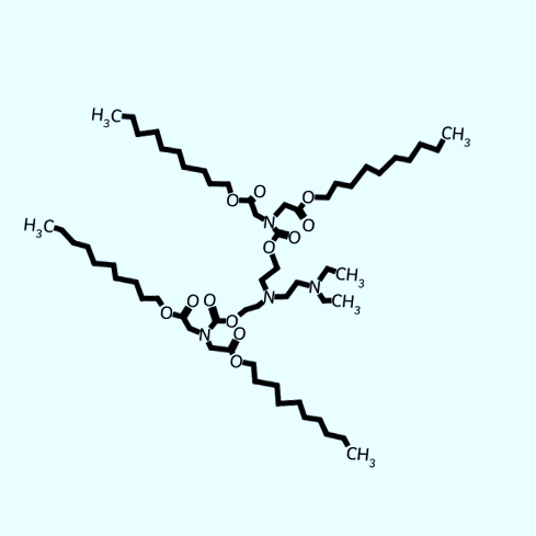 CCCCCCCCCCOC(=O)CN(CC(=O)OCCCCCCCCCC)C(=O)OCCN(CCOC(=O)N(CC(=O)OCCCCCCCCCC)CC(=O)OCCCCCCCCCC)CCN(CC)CC